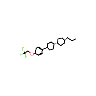 CCC[C@H]1CC[C@H](C2CCC(C3=CCC(OCC(F)(F)F)C=C3)CC2)CC1